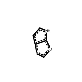 c1cc2ncoc2[nH]1